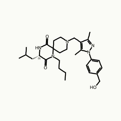 CCCCN1C(=O)[C@H](CC(C)C)NC(=O)C12CCN(Cc1c(C)nn(-c3ccc(CO)cc3)c1C)CC2